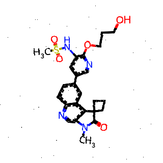 CN1C(=O)C2(CCC2)c2c1cnc1ccc(-c3cnc(OCCCO)c(NS(C)(=O)=O)c3)cc21